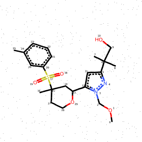 COCn1nc(C(C)(C)CO)cc1C1CC(C)(S(=O)(=O)c2cccc(C)c2)CCO1